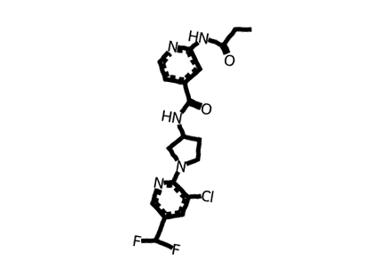 CCC(=O)Nc1cc(C(=O)NC2CCN(c3ncc(C(F)F)cc3Cl)C2)ccn1